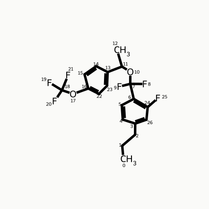 CCCc1ccc(C(F)(F)OC(C)c2ccc(OC(F)(F)F)cc2)c(F)c1